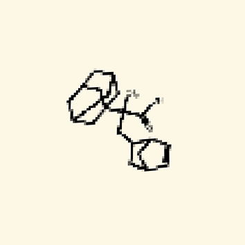 CC(CC1CC2C=CC1C2)(C(=O)O)C12CC3CC(CC(C3)C1)C2